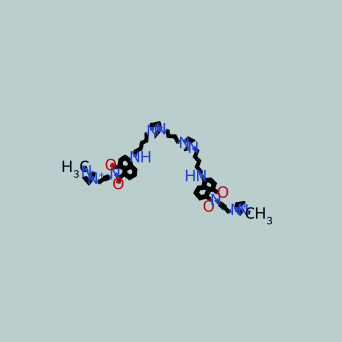 Cn1cc[n+](CC#CN2C(=O)c3cccc4c(NCCCCCN5C=CN(CCCCN6C=CN(CCCCCNc7ccc8c9c(cccc79)C(=O)N(C#CC[n+]7ccn(C)c7)C8=O)C6)C5)ccc(c34)C2=O)c1